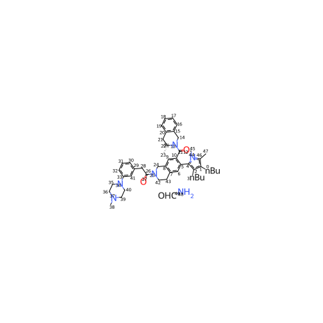 CCCCc1c(CCCC)c(-c2cc3c(cc2C(=O)N2Cc4ccccc4C[C@H]2C)CN(C(=O)Cc2cccc(N4CCN(C)CC4)c2)CC3)n(C)c1C.NC=O